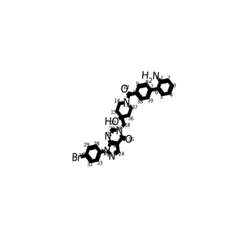 Nc1ccccc1-c1ccc(C(=O)N2CCC(O)(Cn3cnc4c(cnn4-c4ccc(Br)cc4)c3=O)CC2)cc1